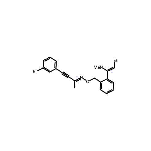 CC/C=C(\NC)c1ccccc1CO/N=C(\C)C#Cc1cccc(Br)c1